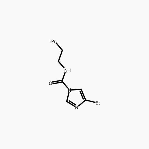 CCc1cn(C(=O)NCCC(C)C)cn1